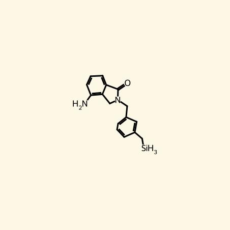 Nc1cccc2c1CN(Cc1cccc(C[SiH3])c1)C2=O